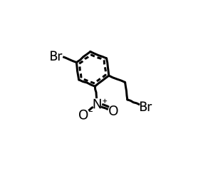 O=[N+]([O-])c1cc(Br)ccc1CCBr